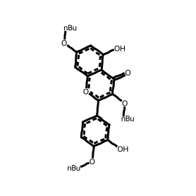 CCCCOc1cc(O)c2c(=O)c(OCCCC)c(-c3ccc(OCCCC)c(O)c3)oc2c1